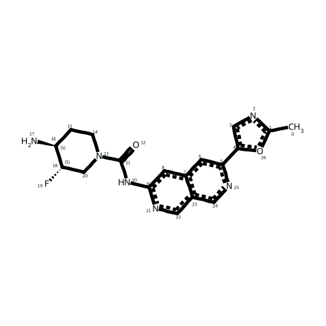 Cc1ncc(-c2cc3cc(NC(=O)N4CC[C@H](N)[C@@H](F)C4)ncc3cn2)o1